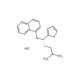 CN(C)CC[C@H](Oc1cccc2ccccc12)c1cccs1.Cl